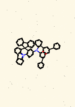 c1ccc(-c2cccc(-c3ccccc3N(c3cccc(-c4ccccc4)c3)c3ccc4c(c3)C3(c5ccccc5-c5ccccc53)c3cccc5c6ccccc6n-4c35)c2)cc1